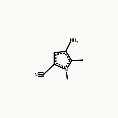 Cc1c(N)cc(C#N)n1C